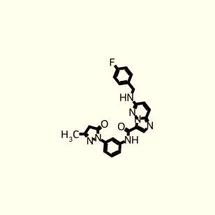 CC1=NN(c2cccc(NC(=O)c3cnc4ccc(NCc5ccc(F)cc5)nn34)c2)C(=O)C1